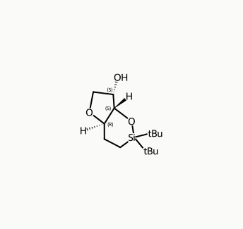 CC(C)(C)[Si]1(C(C)(C)C)CC[C@H]2OC[C@H](O)[C@@H]2O1